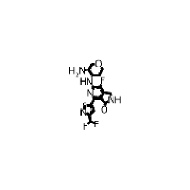 N[C@H]1COCC[C@H]1Nc1nc(-c2cc(C(F)F)ns2)c2c(c1F)CNC2=O